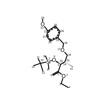 C=C(OCC)[C@@H](O[Si](C)(C)C(C)(C)C)[C@@H](C)COCc1ccc(OC)cc1